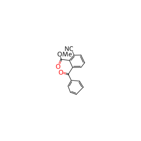 COC(=O)c1c(C#N)cccc1C(=O)c1ccccc1